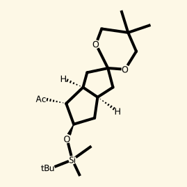 CC(=O)[C@@H]1[C@H]2CC3(C[C@H]2C[C@H]1O[Si](C)(C)C(C)(C)C)OCC(C)(C)CO3